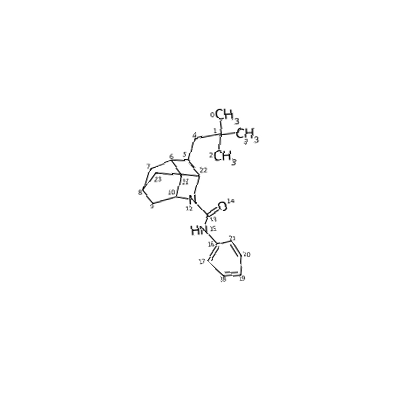 CC(C)(C)CC1C2CC3CC(C2)N(C(=O)Nc2ccccc2)C1C3